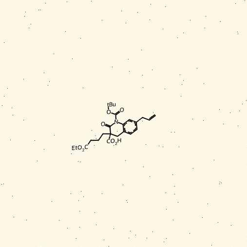 C=CCc1ccc2c(c1)N(C(=O)OC(C)(C)C)C(=O)C(CCCC(=O)OCC)(C(=O)O)C2